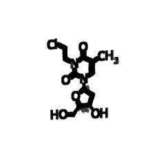 Cc1cn([C@H]2C[C@H](O)[C@@H](CO)O2)c(=O)n(CCCl)c1=O